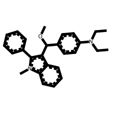 CCN(CC)c1ccc(C(OC)c2c(-c3ccccc3)n(C)c3ccccc23)cc1